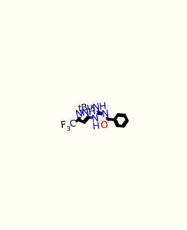 CC(C)(C)N/C(=N/C(=O)c1ccccc1)Nc1cc(C(F)(F)F)n[nH]1